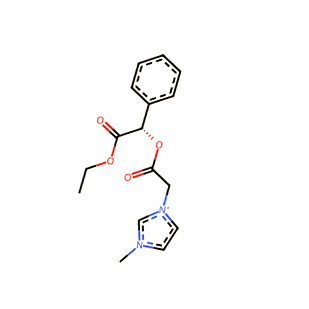 CCOC(=O)[C@@H](OC(=O)C[n+]1ccn(C)c1)c1ccccc1